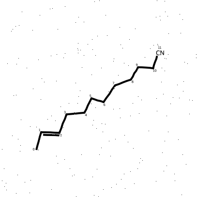 [CH2]C=CCCCCCCCCC#N